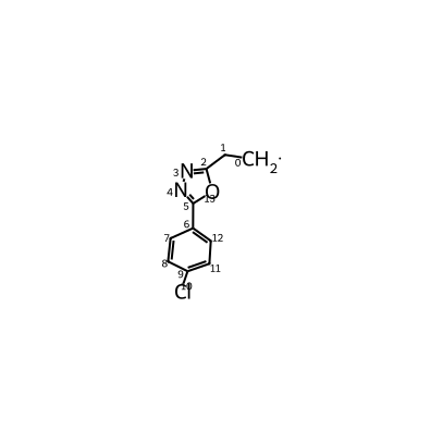 [CH2]Cc1nnc(-c2ccc(Cl)cc2)o1